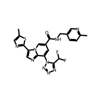 Cc1ccc(CNC(=O)c2cc(-n3nnnc3C(F)F)c3ncc(-c4ncc(C)s4)n3c2)cn1